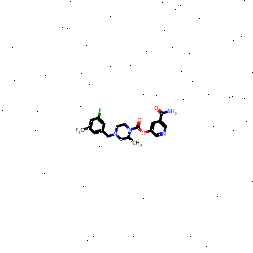 CC1CN(Cc2cc(F)cc(C(F)(F)F)c2)CCN1C(=O)Oc1cncc(C(N)=O)c1